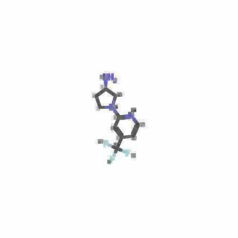 N[C@@H]1CCN(c2cc(C(F)(F)F)ccn2)C1